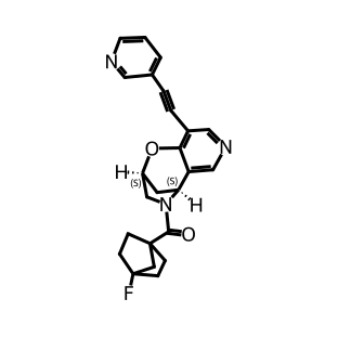 O=C(N1C[C@@H]2C[C@H]1c1cncc(C#Cc3cccnc3)c1O2)C12CCC(F)(CC1)C2